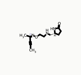 CC#C/C(C)=N\OCCNC[C@H]1CCC(=O)N1